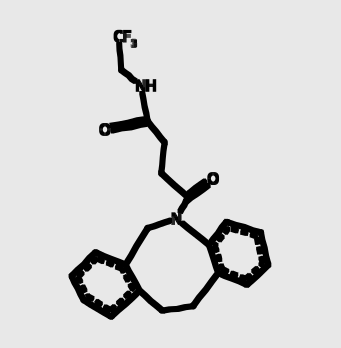 O=C(CCC(=O)N1Cc2ccccc2CCc2ccccc21)NCC(F)(F)F